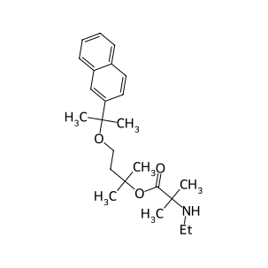 CCNC(C)(C)C(=O)OC(C)(C)CCOC(C)(C)c1ccc2ccccc2c1